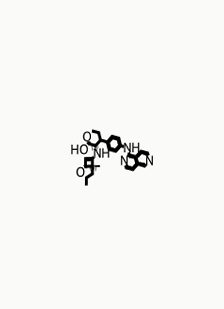 CCC[C@]1(C)C(=O)C=C1N[C@H](C(=O)O)C(CC)c1ccc(Nc2nccc3cnccc23)cc1